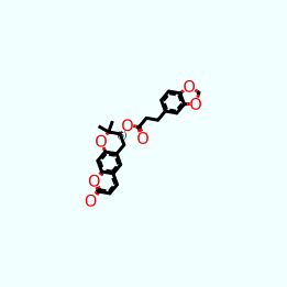 CC1(C)Oc2cc3oc(=O)ccc3cc2C[C@@H]1OC(=O)CCc1ccc2c(c1)OCO2